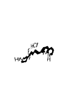 Cl.FC(F)(CCCCc1ccc2c(n1)NCCC2)C1CCNC1